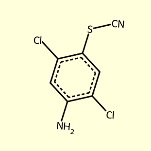 N#CSc1cc(Cl)c(N)cc1Cl